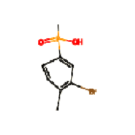 Cc1ccc(P(C)(=O)O)cc1Br